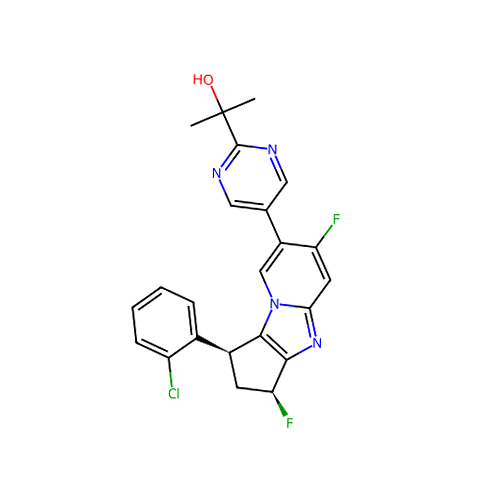 CC(C)(O)c1ncc(-c2cn3c4c(nc3cc2F)[C@@H](F)C[C@H]4c2ccccc2Cl)cn1